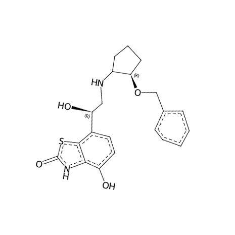 O=c1[nH]c2c(O)ccc([C@@H](O)CNC3CCC[C@H]3OCc3ccccc3)c2s1